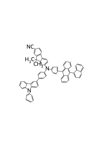 CC1(C)c2cc(C#N)ccc2-c2ccc(N(c3ccc(-c4ccc5c(c4)c4ccccc4n5-c4ccccc4)cc3)c3ccc(-c4c5ccccc5c(-c5cccc6ccccc56)c5ccccc45)cc3)cc21